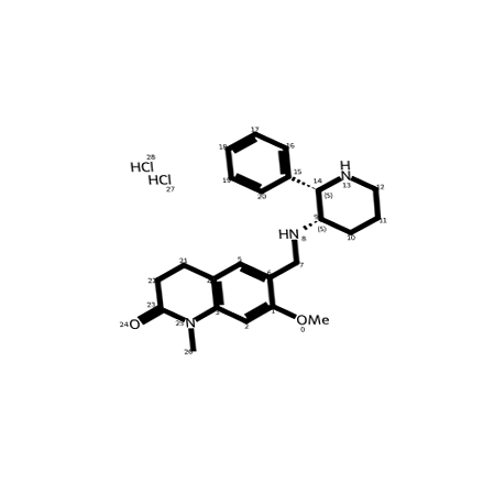 COc1cc2c(cc1CN[C@H]1CCCN[C@H]1c1ccccc1)CCC(=O)N2C.Cl.Cl